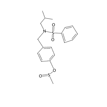 CC(C)CN(Cc1ccc(OS(C)=O)cc1)S(=O)(=O)c1ccccc1